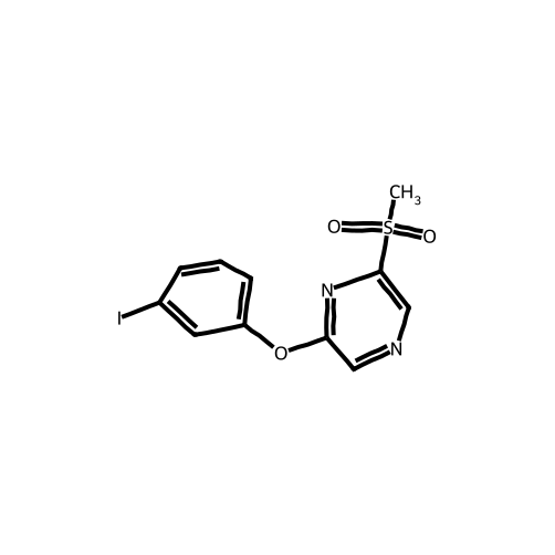 CS(=O)(=O)c1cncc(Oc2cccc(I)c2)n1